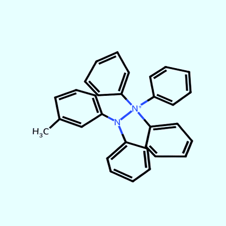 Cc1cccc(N(c2ccccc2)[N+](c2ccccc2)(c2ccccc2)c2ccccc2)c1